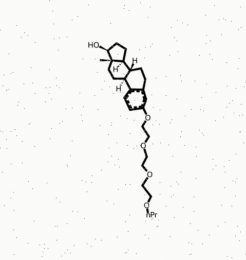 CCCOCCOCCOCCOc1ccc2c(c1)CC[C@@H]1[C@@H]2CC[C@]2(C)[C@@H](O)CC[C@@H]12